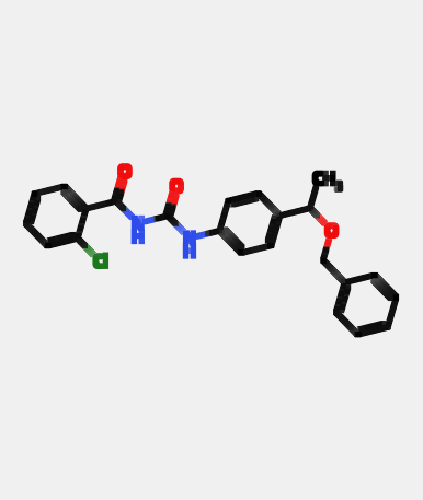 CC(OCc1ccccc1)c1ccc(NC(=O)NC(=O)c2ccccc2Cl)cc1